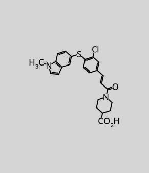 Cn1ccc2cc(Sc3ccc(C=CC(=O)N4CCC(C(=O)O)CC4)cc3Cl)ccc21